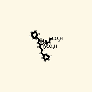 CC(CCC(=O)O)(C(=O)O)S(=N)(=O)C(CCCc1ccccc1)CCc1ccccc1